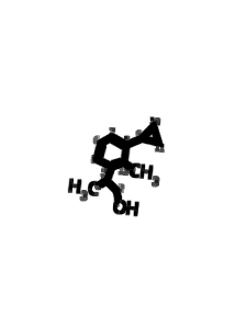 C[C](CO)c1cccc(C2CC2)c1C